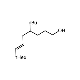 CCCCCCC=CCC(CCCC)CCCO